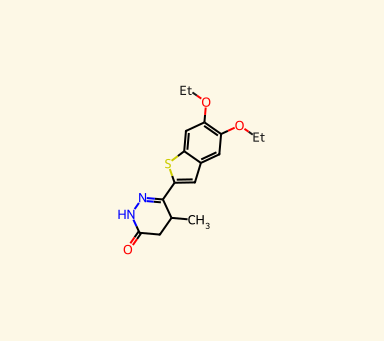 CCOc1cc2cc(C3=NNC(=O)CC3C)sc2cc1OCC